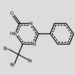 O=c1nc(-c2ccccc2)nc(C(Br)(Br)Br)[nH]1